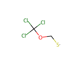 [S]COC(Cl)(Cl)Cl